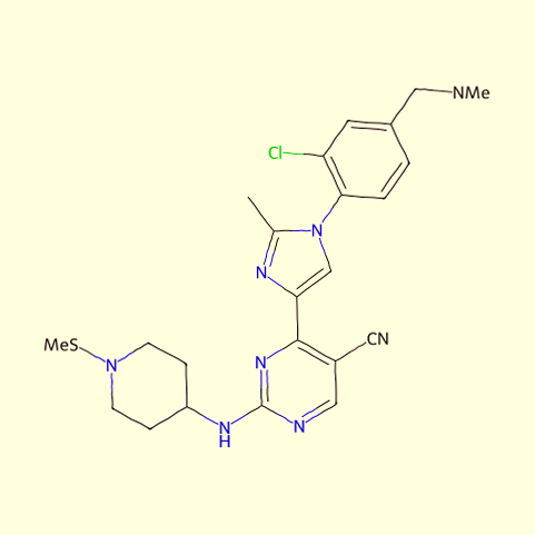 CNCc1ccc(-n2cc(-c3nc(NC4CCN(SC)CC4)ncc3C#N)nc2C)c(Cl)c1